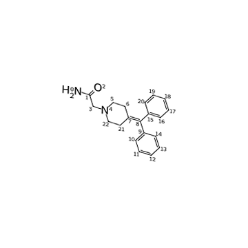 NC(=O)CN1CCC(=C(c2ccccc2)c2ccccc2)CC1